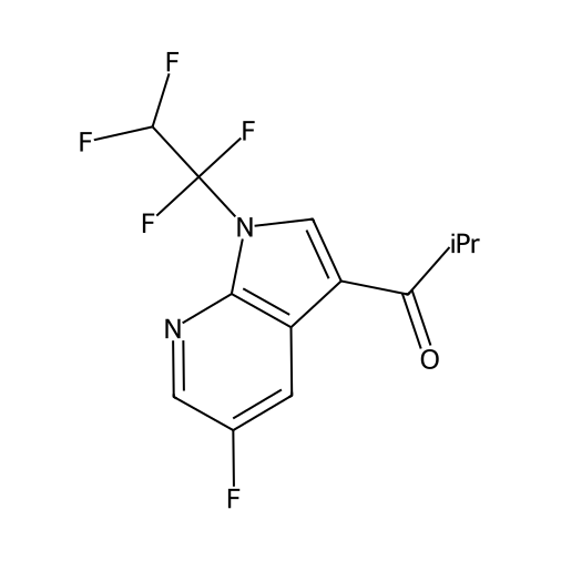 CC(C)C(=O)c1cn(C(F)(F)C(F)F)c2ncc(F)cc12